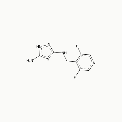 Nc1nc(NCc2c(F)cncc2F)n[nH]1